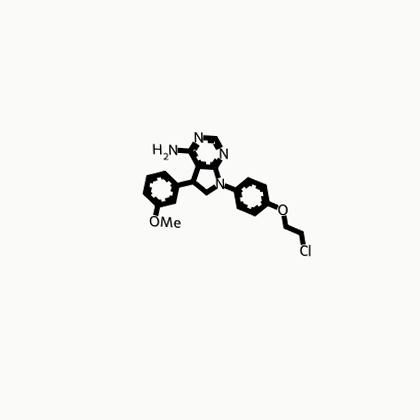 COc1cccc(C2CN(c3ccc(OCCCl)cc3)c3ncnc(N)c32)c1